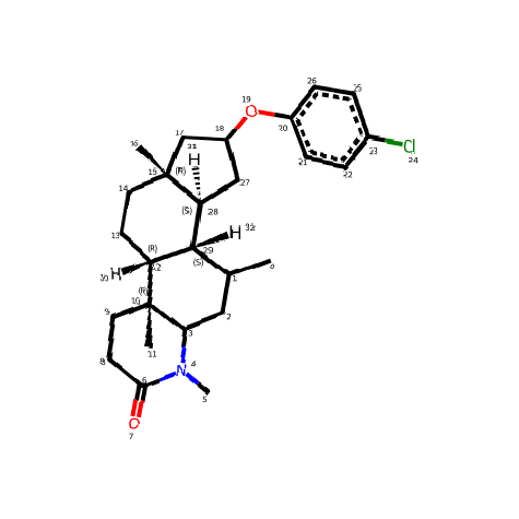 CC1CC2N(C)C(=O)CC[C@]2(C)[C@@H]2CC[C@]3(C)CC(Oc4ccc(Cl)cc4)C[C@H]3[C@H]12